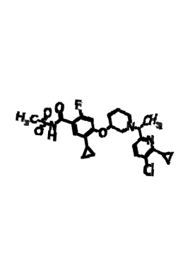 C[C@@H](c1ccc(Cl)c(C2CC2)n1)N1CCCC(Oc2cc(F)c(C(=O)NS(C)(=O)=O)cc2C2CC2)C1